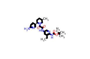 CCc1cc(NC(=O)C(=O)N2C[C@@H](C)CC[C@@H]2c2ccc(N)nc2)cnc1NC(=O)OC(C)(C)C